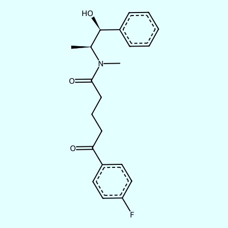 C[C@@H]([C@@H](O)c1ccccc1)N(C)C(=O)CCCC(=O)c1ccc(F)cc1